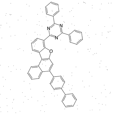 c1ccc(-c2ccc(-c3cc4oc5c(-c6nc(-c7ccccc7)nc(-c7ccccc7)n6)cccc5c4c4ccccc34)cc2)cc1